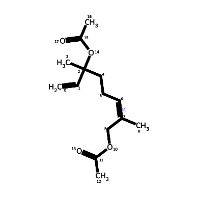 C=CC(C)(CC/C=C(/C)COC(C)=O)OC(C)=O